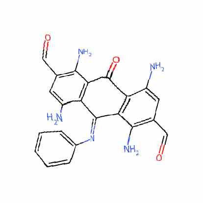 Nc1cc(C=O)c(N)c2c1C(=Nc1ccccc1)c1c(N)c(C=O)cc(N)c1C2=O